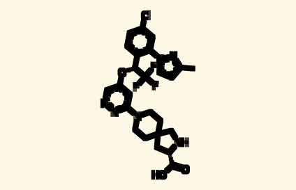 Cc1ccn(-c2cc(Cl)ccc2[C@@H](Oc2cnnc(N3CCC4(CC3)CN[C@H](C(=O)O)C4)c2)C(F)(F)F)n1